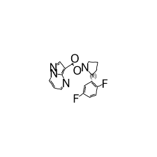 O=C(ON1CCC[C@@H]1c1cc(F)ccc1F)c1cnn2cccnc12